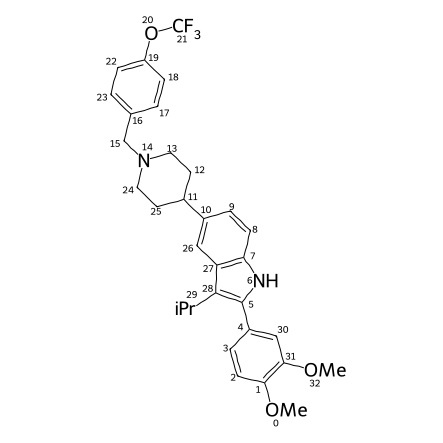 COc1ccc(-c2[nH]c3ccc(C4CCN(Cc5ccc(OC(F)(F)F)cc5)CC4)cc3c2C(C)C)cc1OC